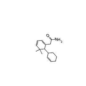 CC1(C)C=CC=C(CC(N)=O)C1C1C=CCCC1